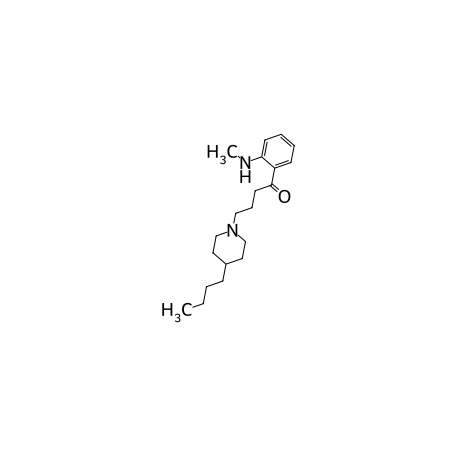 CCCCC1CCN(CCCC(=O)c2ccccc2NC)CC1